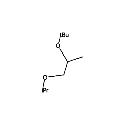 [CH2]C(C)OCC(C)OC(C)(C)C